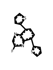 Fc1cnc2c(-c3cccs3)ccc(-c3cccs3)c2n1